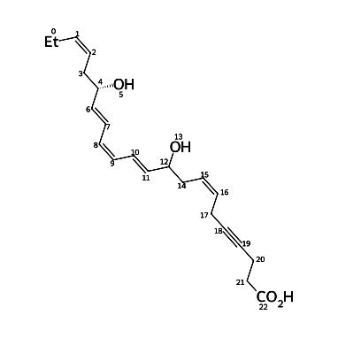 CC/C=C\C[C@H](O)/C=C/C=C\C=C\C(O)C/C=C\CC#CCCC(=O)O